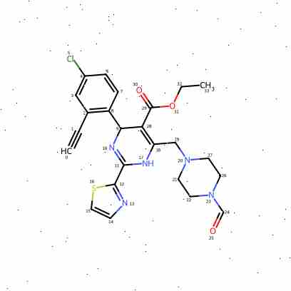 C#Cc1cc(Cl)ccc1C1N=C(c2nccs2)NC(CN2CCN(C=O)CC2)=C1C(=O)OCC